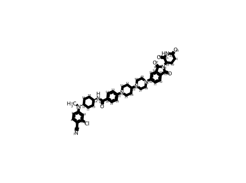 CN(c1ccc(C#N)c(Cl)c1)[C@H]1CC[C@H](NC(=O)c2ccc(N3CCC(N4CCN(c5ccc6c(c5)C(=O)N(C5CCC(=O)NC5=O)C6=O)CC4)CC3)cc2)CC1